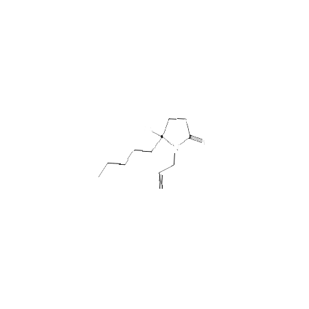 C=CCN1C(=O)CCC1(O)CCCCC